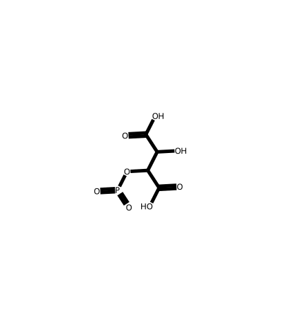 O=C(O)C(O)C(OP(=O)=O)C(=O)O